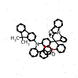 CC1(C)c2ccccc2-c2ccc(N(c3ccc4c(c3)P(=O)(c3ccccc3)c3ccccc3C43c4ccccc4-n4c5ccccc5c5cccc3c54)c3ccccc3-c3ccccc3)cc21